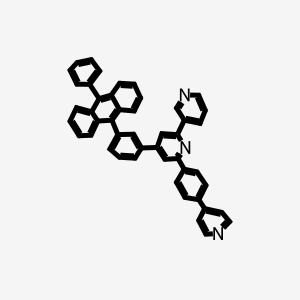 c1ccc(-c2c3ccccc3c(-c3cccc(-c4cc(-c5ccc(-c6ccncc6)cc5)nc(-c5cccnc5)c4)c3)c3ccccc23)cc1